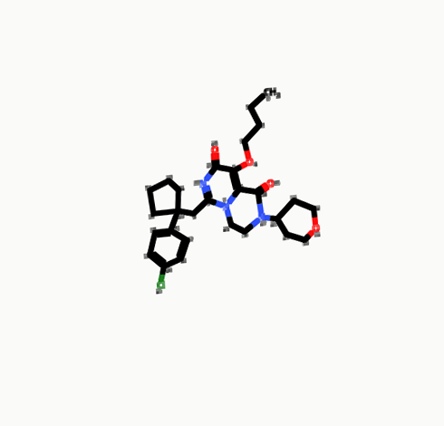 CCCCOc1c2n(c(CC3(c4ccc(Cl)cc4)CCCC3)nc1=O)CCN(C1CCOCC1)C2=O